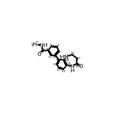 CC(C)NC(=O)c1cccc(-c2cccc3c2NCCC(=O)N3)c1